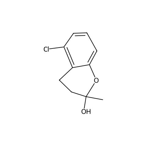 CC1(O)CCc2c(Cl)cccc2O1